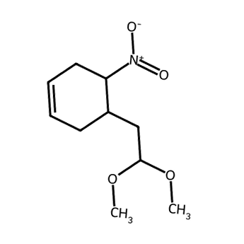 COC(CC1CC=CCC1[N+](=O)[O-])OC